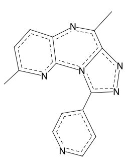 Cc1ccc2nc(C)c3nnc(-c4ccncc4)n3c2n1